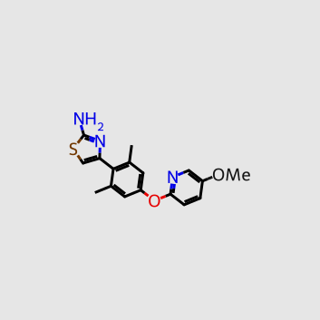 COc1ccc(Oc2cc(C)c(-c3csc(N)n3)c(C)c2)nc1